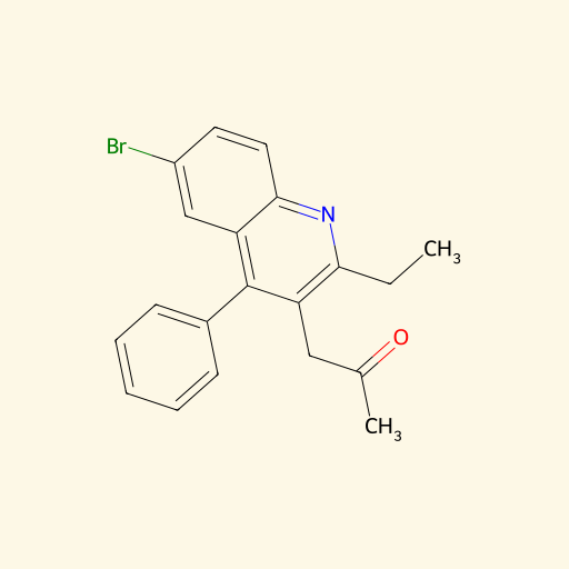 CCc1nc2ccc(Br)cc2c(-c2ccccc2)c1CC(C)=O